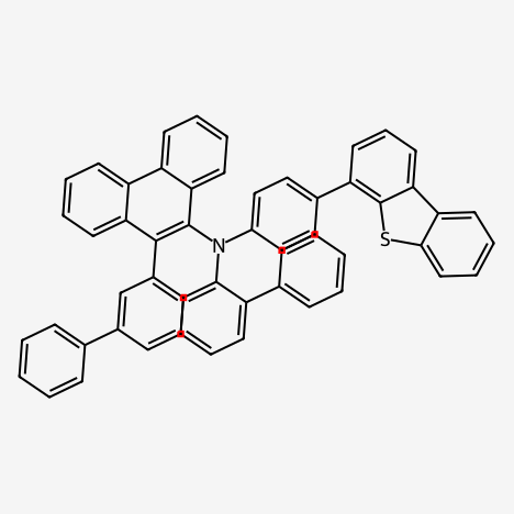 c1ccc(-c2cccc(-c3c(N(c4ccc(-c5cccc6c5sc5ccccc56)cc4)c4ccccc4-c4ccccc4)c4ccccc4c4ccccc34)c2)cc1